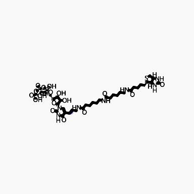 O=C(CCCCCNC(=O)CCCCCNC(=O)CCCC[C@H]1SC[C@H]2NC(=O)N[C@H]21)NC/C=C/c1cn([C@@H]2O[C@H](COP(=O)(O)OP(=O)(O)OP(=O)(O)O)[C@H](O)C2O)c(=O)[nH]c1=O